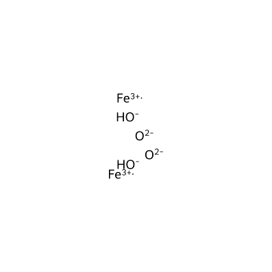 [Fe+3].[Fe+3].[O-2].[O-2].[OH-].[OH-]